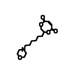 O=C1C=CC(=O)OC(CCCCCCN2CCOCC2)CO1